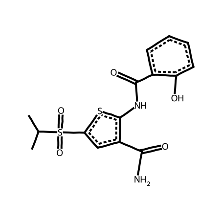 CC(C)S(=O)(=O)c1cc(C(N)=O)c(NC(=O)c2ccccc2O)s1